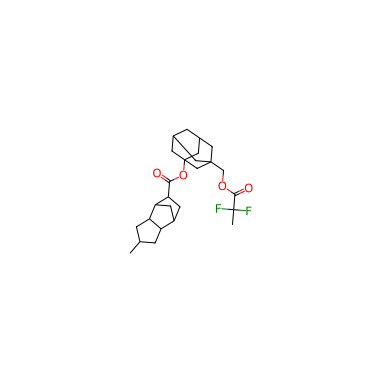 CC1CC2C3CC(C(=O)OC45CC6CC(CC(COC(=O)C(C)(F)F)(C6)C4)C5)C(C3)C2C1